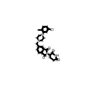 Cc1ccc(Cl)cc1N1CCN(Cc2ccc3c(c2)C(=O)N(C2CCC(=O)NC2=O)C3=O)CC1